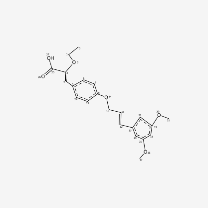 CCO[C@@H](Cc1ccc(OCC=Cc2cc(OC)cc(OC)c2)cc1)C(=O)O